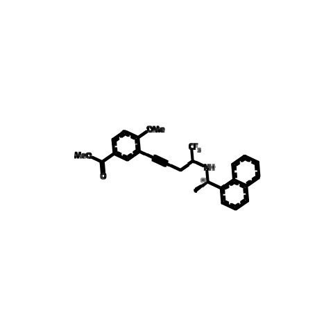 COC(=O)c1ccc(OC)c(C#CCC(N[C@H](C)c2cccc3ccccc23)C(F)(F)F)c1